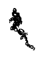 CCC(=O)O[C@]1(C(=O)COC(=O)CNC(=O)CCCCCO[N+](=O)[O-])[C@@H](C)C[C@H]2[C@@H]3CCC4=CC(=O)C=C[C@]4(C)[C@@]3(F)[C@@H](O)C[C@@]21C